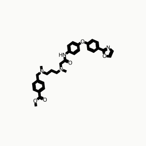 COC(=O)c1ccc(CN(C)CCCN(C)CC(=O)Nc2ccc(Oc3ccc(-c4ncco4)cc3)cc2)cc1